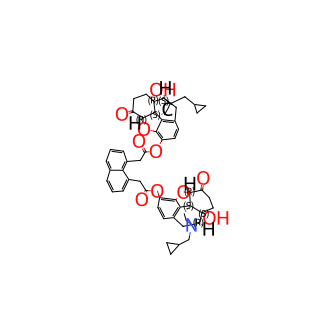 O=C(Cc1cccc2cccc(CC(=O)Oc3ccc4c5c3O[C@H]3C(=O)CC[C@@]6(O)[C@@H](C4)N(CC4CC4)CC[C@]536)c12)Oc1ccc2c3c1O[C@H]1C(=O)CC[C@@]4(O)[C@@H](C2)C(CC2CC2)CC[C@]314